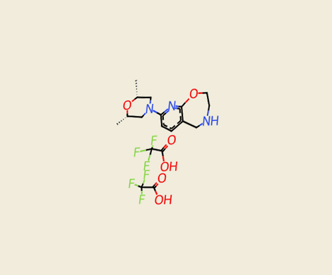 C[C@@H]1CN(c2ccc3c(n2)OCCNC3)C[C@H](C)O1.O=C(O)C(F)(F)F.O=C(O)C(F)(F)F